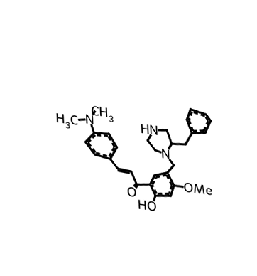 COc1cc(O)c(C(=O)/C=C/c2ccc(N(C)C)cc2)cc1CN1CCNCC1Cc1ccccc1